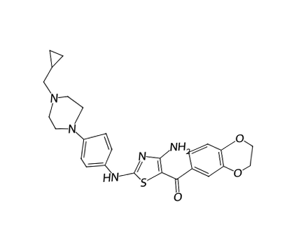 Nc1nc(Nc2ccc(N3CCN(CC4CC4)CC3)cc2)sc1C(=O)c1ccc2c(c1)OCCO2